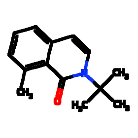 Cc1cccc2ccn(C(C)(C)C)c(=O)c12